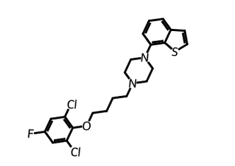 Fc1cc(Cl)c(OCCCCN2CCN(c3cccc4ccsc34)CC2)c(Cl)c1